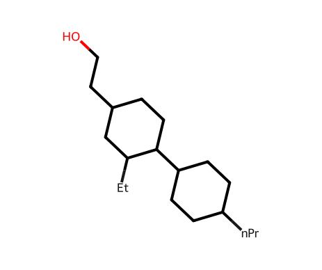 CCCC1CCC(C2CCC(CCO)CC2CC)CC1